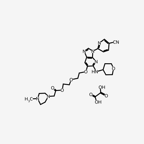 CN1CCN(CC(=O)OCCOCCOc2cc3ncn(-c4ccc(C#N)cn4)c3nc2NC2CCOCC2)CC1.O=C(O)C(=O)O